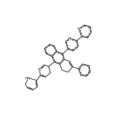 C1=CCNC(C2=CCC(c3c4c(c(-c5ccc(-c6ccccn6)nc5)c5ccccc35)C=C(c3ccccc3)CC4)C=N2)=C1